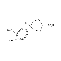 COc1cc(C2(F)CCN(C(=O)O)CC2)ccc1C=O